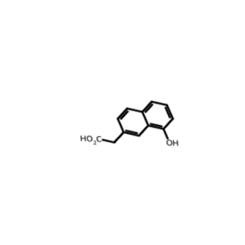 O=C(O)Cc1ccc2cccc(O)c2c1